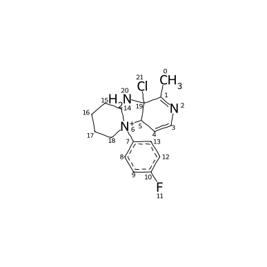 CC1=NC=CC([N+]2(c3ccc(F)cc3)CCCCC2)C1(N)Cl